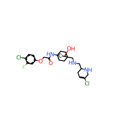 O=C(COc1ccc(Cl)c(F)c1)NC12CCC(CNCC3CC=C(Cl)CN3)(CC1)C(O)C2